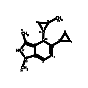 CC1=C2C(=CN=C(C3CC3)N2N2CC2C)N(C)N1